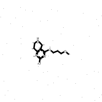 COCCCOc1nc(Cl)nc2c1CNCC2